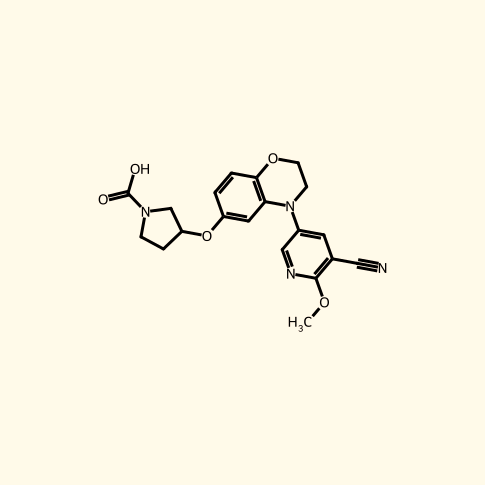 COc1ncc(N2CCOc3ccc(OC4CCN(C(=O)O)C4)cc32)cc1C#N